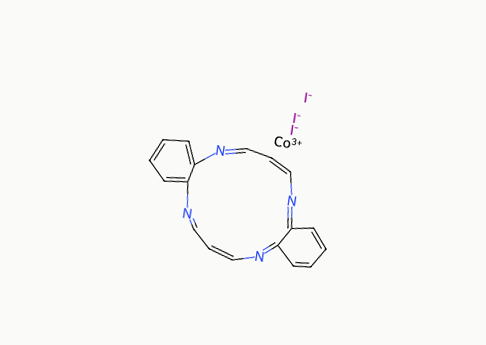 [Co+3].[I-].[I-].[I-].c1cnc2ccccc2ncccnc2ccccc2nc1